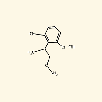 CC(CON)c1c(Cl)cccc1Cl.Cl